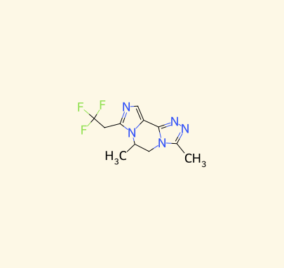 Cc1nnc2n1CC(C)n1c-2cnc1CC(F)(F)F